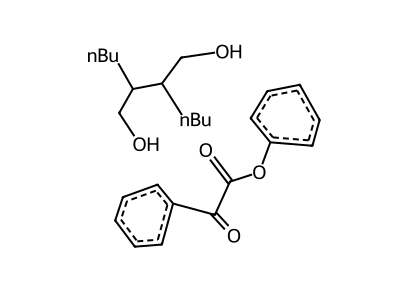 CCCCC(CO)C(CO)CCCC.O=C(Oc1ccccc1)C(=O)c1ccccc1